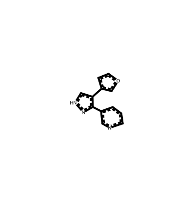 c1cncc(-c2n[nH]cc2-c2ccoc2)c1